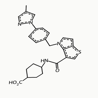 Cc1cnn(-c2ccc(Cn3ccc4scc(C(=O)NC5CCC(C(=O)O)CC5)c43)cc2)c1